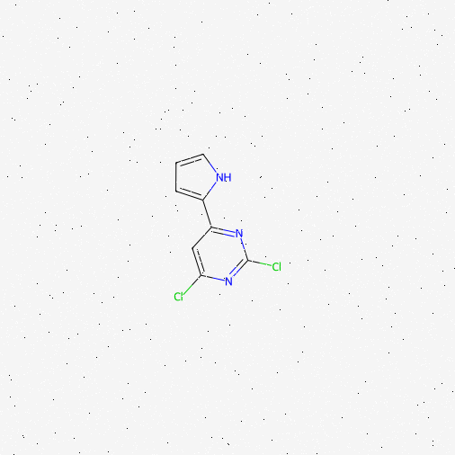 Clc1cc(-c2ccc[nH]2)nc(Cl)n1